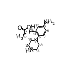 CC(=O)O.Nc1ccc(N2CCNCC2)c(F)c1